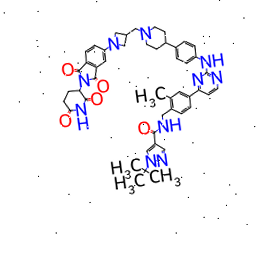 Cc1cc(-c2ccnc(Nc3ccc(C4CCN(CC5CN(c6ccc7c(c6)C(=O)N(C6CCC(=O)NC6=O)C7=O)C5)CC4)cc3)n2)ccc1CNC(=O)c1cnn(C(C)(C)C)c1